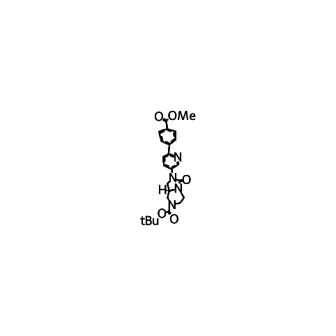 COC(=O)c1ccc(-c2ccc(N3C[C@@H]4CN(C(=O)OC(C)(C)C)CCN4C3=O)cn2)cc1